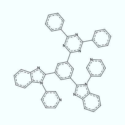 c1ccc(-c2nc(-c3ccccc3)nc(-c3cc(-c4nc5ccccc5n4-c4cccnc4)cc(-c4nc5ccccc5n4-c4cccnc4)c3)n2)cc1